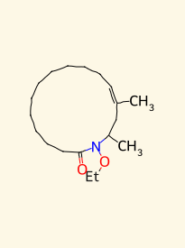 CCON1C(=O)CCCCCCCCCCC=C(C)CC1C